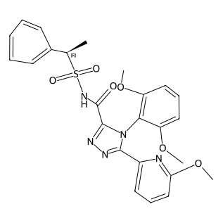 COc1cccc(-c2nnc(C(=O)NS(=O)(=O)[C@H](C)c3ccccc3)n2-c2c(OC)cccc2OC)n1